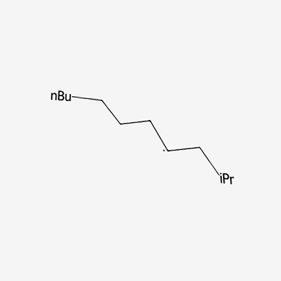 [CH2]CCCCCC[CH]CC(C)C